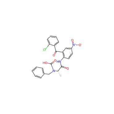 C[C@@H](C(=O)Nc1ccc([N+](=O)[O-])cc1C(=O)c1ccccc1Cl)N(Cc1ccccc1)C(=O)O